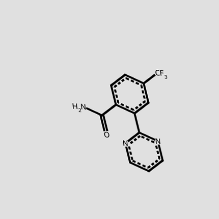 NC(=O)c1ccc(C(F)(F)F)cc1-c1ncccn1